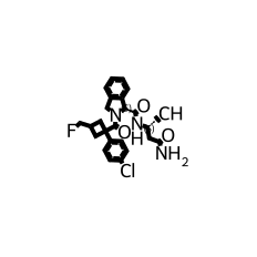 C#C[C@H](CC(N)=O)NC(=O)[C@@H]1c2ccccc2CN1C(=O)C1(c2ccc(Cl)cc2)CC(CF)C1